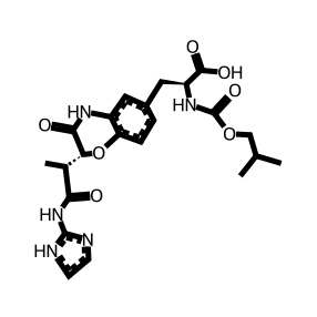 CC(C)COC(=O)N[C@@H](Cc1ccc2c(c1)NC(=O)[C@@H](C(C)C(=O)Nc1ncc[nH]1)O2)C(=O)O